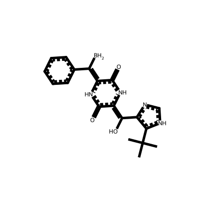 B/C(c1ccccc1)=c1/[nH]c(=O)/c(=C(\O)c2nc[nH]c2C(C)(C)C)[nH]c1=O